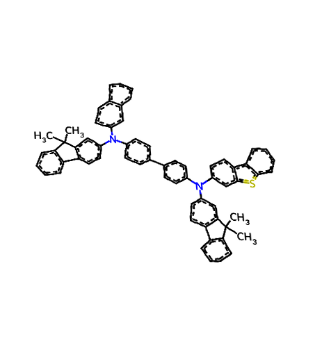 CC1(C)c2ccccc2-c2ccc(N(c3ccc(-c4ccc(N(c5ccc6c(c5)C(C)(C)c5ccccc5-6)c5ccc6c(c5)sc5ccccc56)cc4)cc3)c3ccc4ccccc4c3)cc21